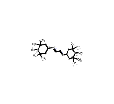 CC1(C)CC(/N=C/C=N/C2CC(C)(C)N(O)C(C)(C)C2)CC(C)(C)N1O